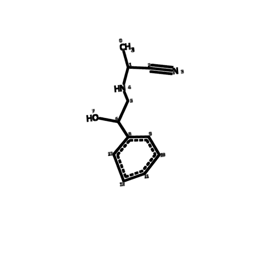 CC(C#N)NCC(O)c1ccccc1